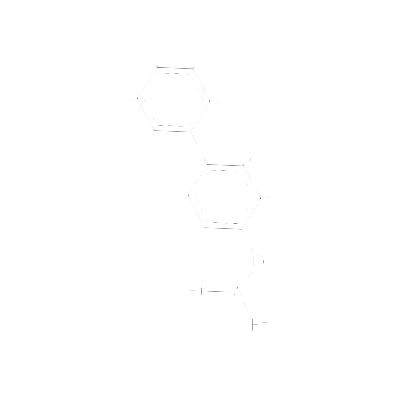 C[CH2][Al]([CH2]C)[O]c1ccc(-c2cc[c]cc2)cc1